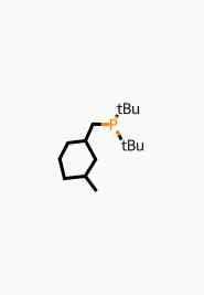 CC1CCCC(CP(C(C)(C)C)C(C)(C)C)C1